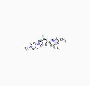 Cc1cn2nc(-c3cc(F)c4nn(C5CCN(C)CC5)cc4c3)cc(C)c2n1